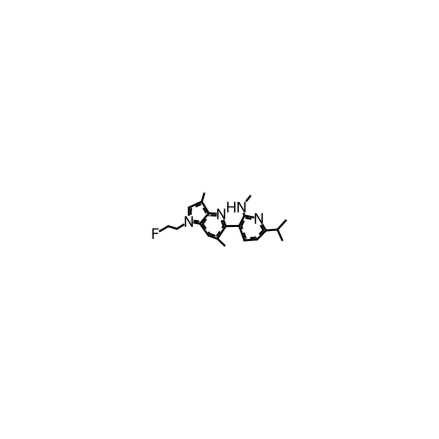 CNc1nc(C(C)C)ccc1-c1nc2c(C)cn(CCF)c2cc1C